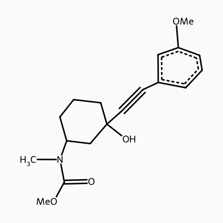 COC(=O)N(C)C1CCCC(O)(C#Cc2cccc(OC)c2)C1